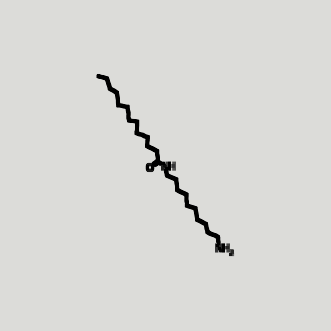 CCCCCCCCCCCCC(=O)NCCCCCCCCCCN